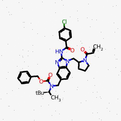 C=CC(=O)N1CCCC1Cn1c(NC(=O)c2ccc(Cl)cc2)nc2cc(CN(C(=O)OCc3ccccc3)[C@@H](C)C(C)(C)C)ccc21